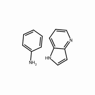 Nc1ccccc1.c1cnc2cc[nH]c2c1